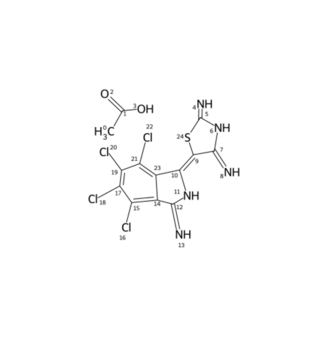 CC(=O)O.N=C1NC(=N)/C(=C2\NC(=N)c3c(Cl)c(Cl)c(Cl)c(Cl)c32)S1